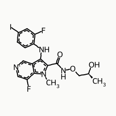 C[C@H](O)CONC(=O)c1c(Nc2ccc(I)cc2F)c2cncc(F)c2n1C